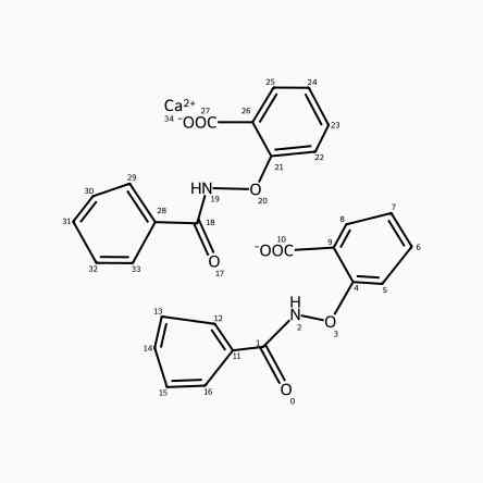 O=C(NOc1ccccc1C(=O)[O-])c1ccccc1.O=C(NOc1ccccc1C(=O)[O-])c1ccccc1.[Ca+2]